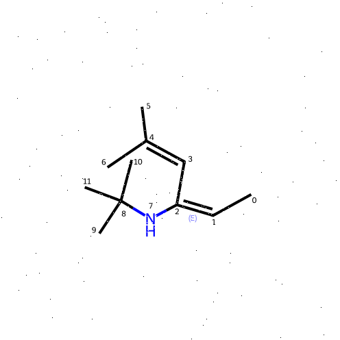 C/C=C(\C=C(C)C)NC(C)(C)C